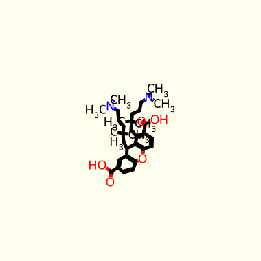 CN(C)CCCC(C)(C)Cc1c(C(=O)O)ccc2c1C(CC(C)(C)CCCN(C)C)c1cc(C(=O)O)ccc1O2